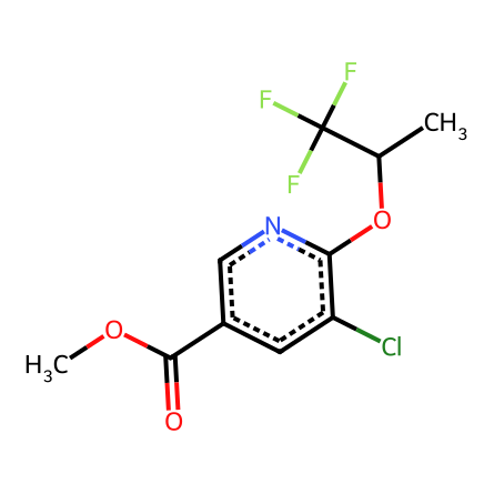 COC(=O)c1cnc(OC(C)C(F)(F)F)c(Cl)c1